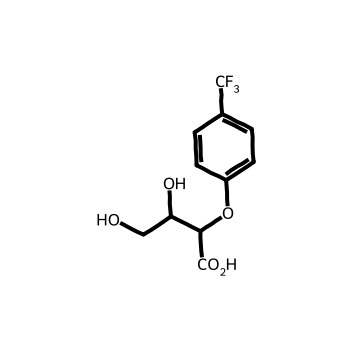 O=C(O)C(Oc1ccc(C(F)(F)F)cc1)C(O)CO